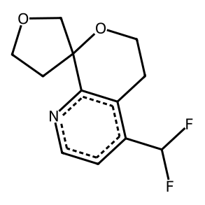 FC(F)c1ccnc2c1CCOC21CCOC1